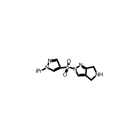 CC(C)n1cc(S(=O)(=O)n2cc3c(n2)CNC3)cn1